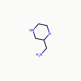 NCC1CNCC[N]1